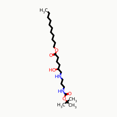 CCCCCCCCCCCOC(=O)CCCC(O)CNCCCNC(=O)OC(C)(C)C